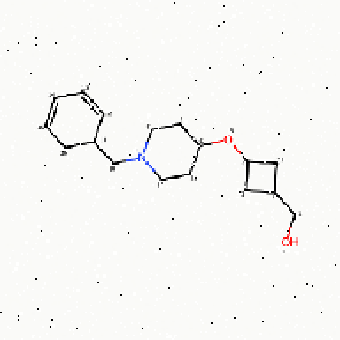 OCC1CC(OC2CCN(CC3C=CC=CC3)CC2)C1